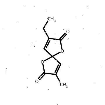 CCC1=CC2(C=C(C)C(=O)O2)OC1=O